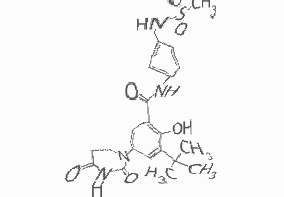 CC(C)(C)c1cc(N2CCC(=O)NC2=O)cc(C(=O)Nc2ccc(NS(C)(=O)=O)cc2)c1O